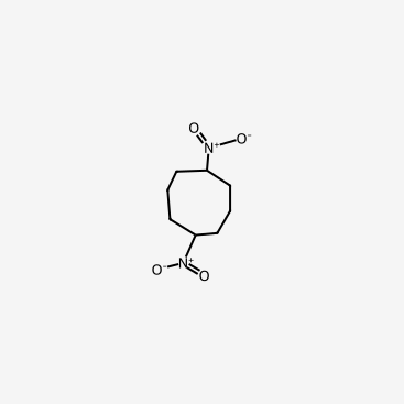 O=[N+]([O-])C1CCCC([N+](=O)[O-])CCC1